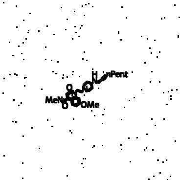 CCCCCC#CCNC1CCN(CCn2c(=O)cc(C(=O)NC)c3ccc(OC)cc32)CC1